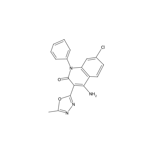 Cc1nnc(-c2c(N)c3ccc(Cl)cc3n(-c3ccccc3)c2=O)o1